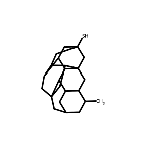 CC1CC2CC3C1CC14CC5(S)CC6C7CC(C2)(CC61)C3C4C7C5